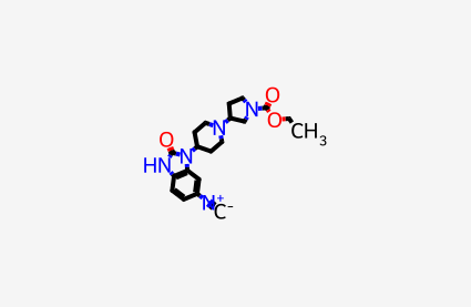 [C-]#[N+]c1ccc2[nH]c(=O)n(C3CCN(C4CCN(C(=O)OCC)C4)CC3)c2c1